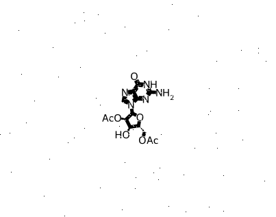 CC(=O)OC[C@H]1OC(n2cnc3c(=O)[nH]c(N)nc32)[C@H](OC(C)=O)[C@@H]1O